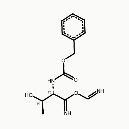 C[C@@H](O)[C@H](NC(=O)OCc1ccccc1)C(=N)OC=N